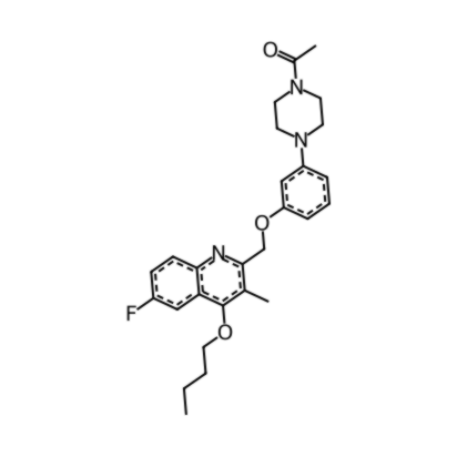 CCCCOc1c(C)c(COc2cccc(N3CCN(C(C)=O)CC3)c2)nc2ccc(F)cc12